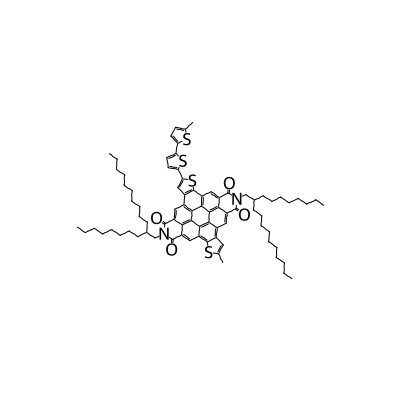 CCCCCCCCCCC(CCCCCCCC)Cn1c(=O)c2cc3c4cc(-c5ccc(-c6ccc(C)s6)s5)sc4c4cc5c(=O)n(CC(CCCCCCCC)CCCCCCCCCC)c(=O)c6cc7c8cc(C)sc8c8cc(c1=O)c2c1c3c4c(c65)c7c81